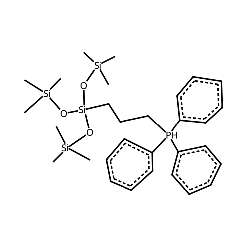 C[Si](C)(C)O[Si](CCC[PH](c1ccccc1)(c1ccccc1)c1ccccc1)(O[Si](C)(C)C)O[Si](C)(C)C